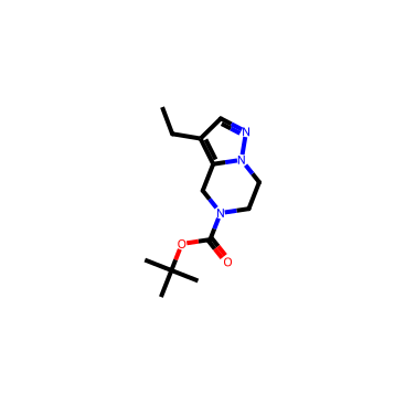 CCc1cnn2c1CN(C(=O)OC(C)(C)C)CC2